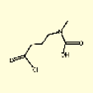 CN(CCCC(=O)Cl)C(=O)O